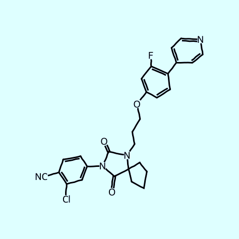 N#Cc1ccc(N2C(=O)N(CCCOc3ccc(-c4ccncc4)c(F)c3)C3(CCCC3)C2=O)cc1Cl